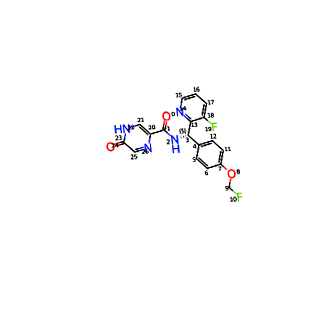 O=C(N[C@@H](c1ccc(OCF)cc1)c1ncccc1F)c1c[nH]c(=O)cn1